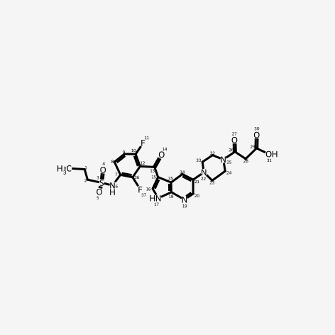 CCCS(=O)(=O)Nc1ccc(F)c(C(=O)c2c[nH]c3ncc(N4CCN(C(=O)CC(=O)O)CC4)cc23)c1F